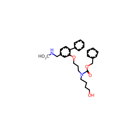 O=C(O)NCc1ccc(-c2ccccc2)c(OCCCN(CCCCO)C(=O)OCc2ccccc2)c1